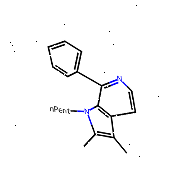 CCCCCn1c(C)c(C)c2ccnc(-c3ccccc3)c21